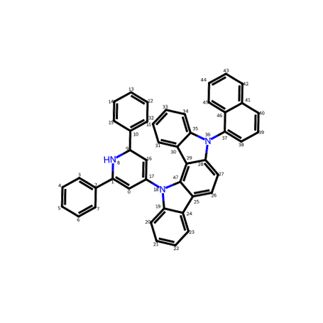 C1=C(c2ccccc2)NC(c2ccccc2)C=C1n1c2ccccc2c2ccc3c(c4ccccc4n3-c3cccc4ccccc34)c21